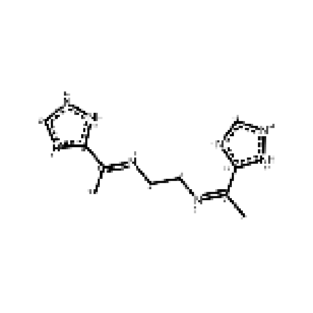 CC(=NCCN=C(C)c1ncn[nH]1)c1ncn[nH]1